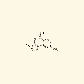 COc1ccc(C)cc1-c1c[nH]c(=S)n1C